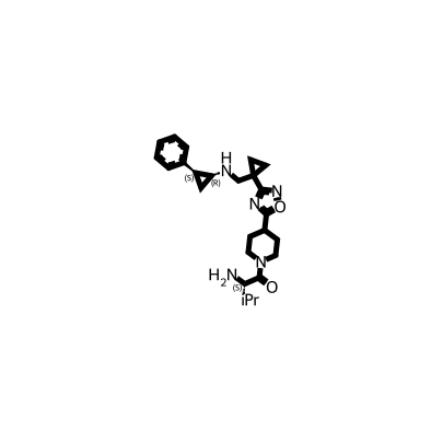 CC(C)[C@H](N)C(=O)N1CCC(c2nc(C3(CN[C@@H]4C[C@H]4c4ccccc4)CC3)no2)CC1